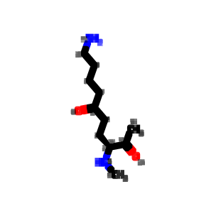 CN[C@@H](CCC(=O)CCCCN)C(C)=O